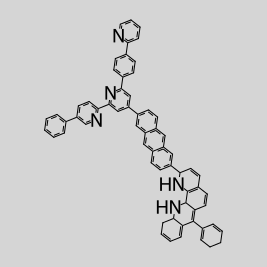 C1=CCC2NC3C(=C(C4=CCCC=C4)C2=C1)C=CC1=C3NC(c2ccc3cc4cc(-c5cc(-c6ccc(-c7ccccn7)cc6)nc(-c6ccc(-c7ccccc7)cn6)c5)ccc4cc3c2)C=C1